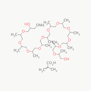 C=C(C)C(=O)O.COCC(O)COC(C)COC(C)COC(C)COC(C)COC(C)COC(C)COC(C)COC(C)COC(C)COC(C)COC(C)CO